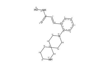 O=C(C=Cc1ccccc1N1CCC2(CCCNC2)CC1)NO